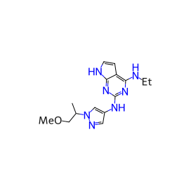 CCNc1nc(Nc2cnn(C(C)COC)c2)nc2[nH]ccc12